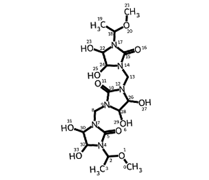 COC(C)N1C(=O)N(CN2C(=O)N(CN3C(=O)N(C(C)OC)C(O)C3O)C(O)C2O)C(O)C1O